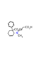 CCOC(=O)[C@]1(c2ccccc2)CCC=C[C@H]1N(C)CCCC(=O)O